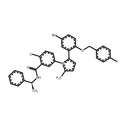 Cc1ccc(-c2cc(Br)ccc2OCc2ccc(F)cc2)n1-c1ccc(Cl)c(C(=O)N[C@@H](C)c2ccccc2)c1